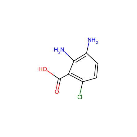 Nc1ccc(Cl)c(C(=O)O)c1N